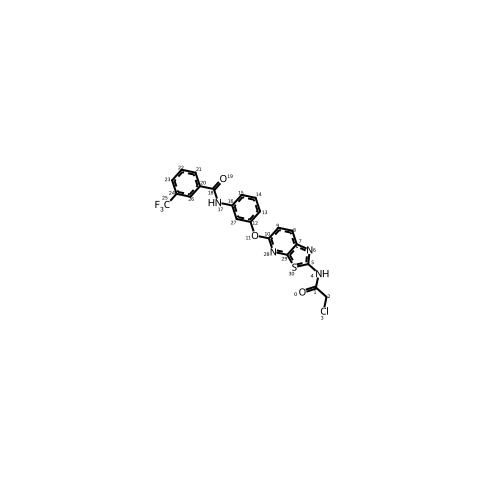 O=C(CCl)Nc1nc2ccc(Oc3cccc(NC(=O)c4cccc(C(F)(F)F)c4)c3)nc2s1